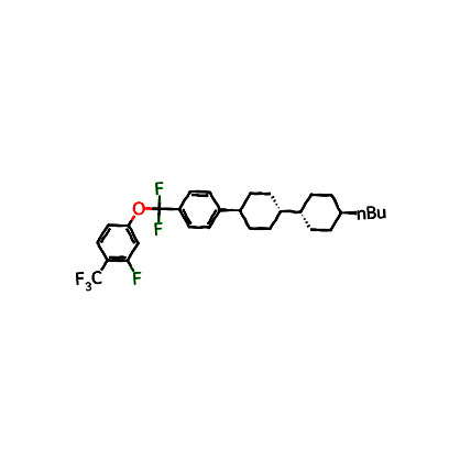 CCCC[C@H]1CC[C@H]([C@H]2CC[C@H](c3ccc(C(F)(F)Oc4ccc(C(F)(F)F)c(F)c4)cc3)CC2)CC1